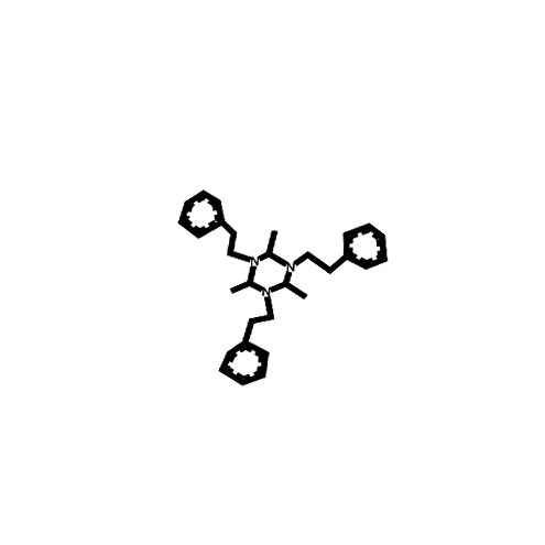 CC1N(CCc2ccccc2)C(C)N(CCc2ccccc2)C(C)N1CCc1ccccc1